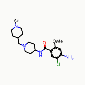 COc1cc(N)c(Cl)cc1C(=O)NC1CCN(CC2CCN(C(C)=O)CC2)CC1